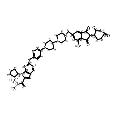 CN(C)C(=O)c1cc2cnc(Nc3ccc(N4CCC(N5CCN(Cc6cc(Br)c7c(c6)C(=O)N(C6CCC(=O)NC6=O)C7=O)CC5)CC4)cn3)nc2n1C1CCCC1